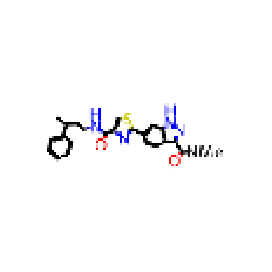 CNC(=O)c1n[nH]c2cc(-c3nc(C(=O)NCCC(C)c4ccccc4)cs3)ccc12